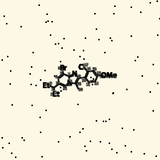 CCC(CC)c1cc(Br)c2nc(-c3ccc(OC)cc3Cl)c(C)n2c1